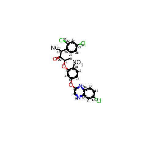 CC(Oc1cc(Oc2cnc3cc(Cl)ccc3n2)ccc1[N+](=O)[O-])C(=O)C(C#N)c1ccc(Cl)cc1Cl